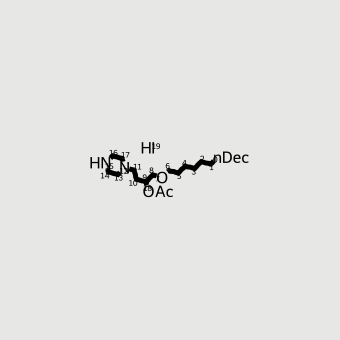 CCCCCCCCCCCCCCCCOCC(CCN1CCNCC1)OC(C)=O.I